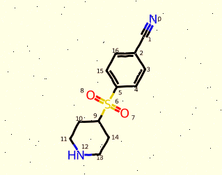 N#Cc1ccc(S(=O)(=O)C2CCNCC2)cc1